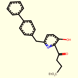 CCOC(=O)CCC(=O)c1nc(Cc2ccc(-c3ccccc3)cc2)ccc1O